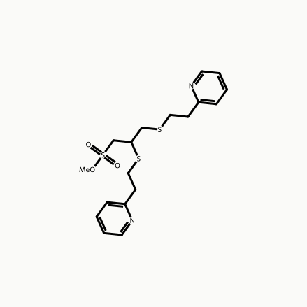 COS(=O)(=O)CC(CSCCc1ccccn1)SCCc1ccccn1